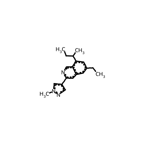 CCc1cc(C(C)CC)c2cnc(-c3cnn(C)c3)cc2c1